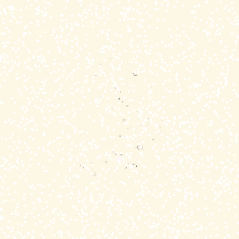 CCC[C@@H]1C[C@H](n2c(=O)c(/C(=N/OCC(N)=O)C(=O)O)nc3ccccc32)CCN1[C@@H]1CCCCCC[C@@H](C)C1